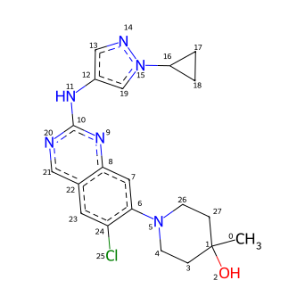 CC1(O)CCN(c2cc3nc(Nc4cnn(C5CC5)c4)ncc3cc2Cl)CC1